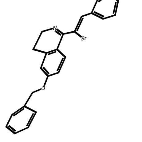 Br/C(=C\c1ccccc1)C1=NCCc2cc(OCc3ccccc3)ccc21